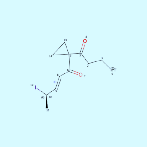 CC(C)CCC(=O)C1(C(=O)/C=C/[C@@H](C)I)CC1